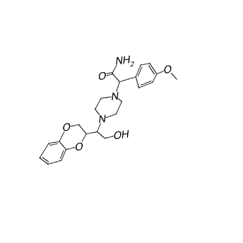 COc1ccc(C(C(N)=O)N2CCN(C(CO)C3COc4ccccc4O3)CC2)cc1